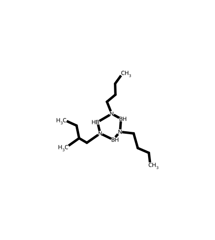 CCCCN1BN(CCCC)BN(CC(C)CC)B1